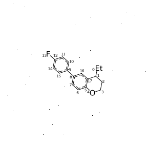 CCC1CCOc2ccc(-c3ccc(F)cc3)cc21